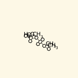 CC1(C)c2ccccc2-c2ccc(-c3c4ccccc4c(-c4ccc5c(c4)-c4c(c6oc7ccccc7c6c6ccccc46)C5(C)C)c4ccccc34)cc21